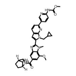 COC(=O)Nc1ccc(-c2ccc3cc(-c4nc5cc(C(=O)N6C[C@H]7CC[C@@H]6[C@@H]7N)cc(OC)c5n4C)n(CC4CC4)c3n2)cn1